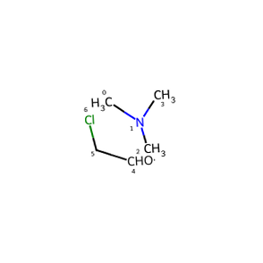 CN(C)C.O=[C]CCl